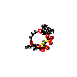 CCC[Si]1(CCC)OCCCO[Si](CCC)(CCC)OS(=O)(=O)CS(=O)(=O)O1